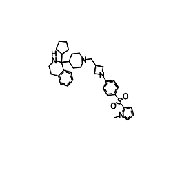 Cn1cccc1S(=O)(=O)c1ccc(N2CC(CN3CCC(C4(C5CCCC5)NCCc5ccccc54)CC3)C2)cc1